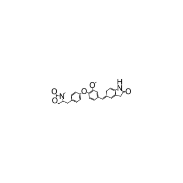 COc1cc(C=C2C=C3CC(=O)NC3=CC2)ccc1Oc1ccc(CC2COC(=O)N2C)cc1